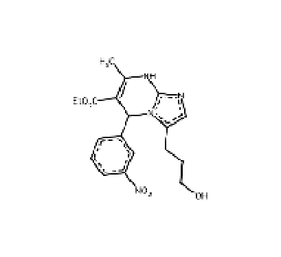 CCOC(=O)C1=C(C)Nc2ncc(CCCO)n2C1c1cccc([N+](=O)[O-])c1